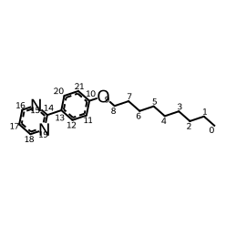 CCCCCCCCCOc1ccc(-c2ncccn2)cc1